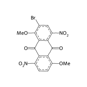 COc1ccc([N+](=O)[O-])c2c1C(=O)c1c([N+](=O)[O-])cc(Br)c(OC)c1C2=O